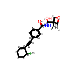 CC1(C(O)NC(=O)c2ccc(C#CC3=CCCCC3F)cc2)COC1